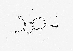 Cn1c(S)nc2cc(S(=O)(=O)O)ccc21